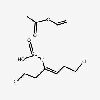 C=COC(C)=O.O=[PH](O)OC(=CCCCl)CCCl